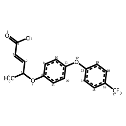 CC(C=CC(=O)Cl)Oc1ccc(Oc2ccc(C(F)(F)F)cc2)cc1